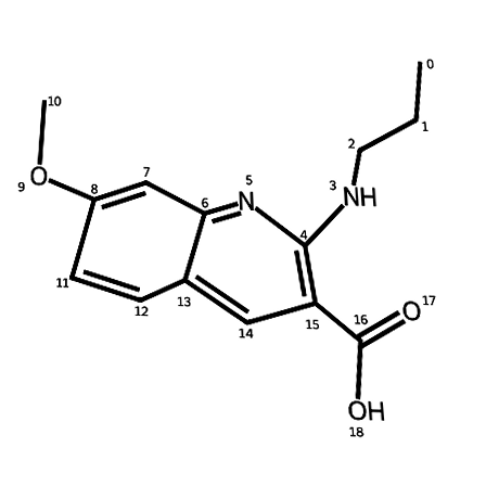 CCCNc1nc2cc(OC)ccc2cc1C(=O)O